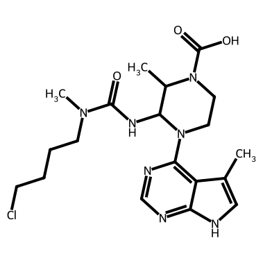 Cc1c[nH]c2ncnc(N3CCN(C(=O)O)C(C)C3NC(=O)N(C)CCCCCl)c12